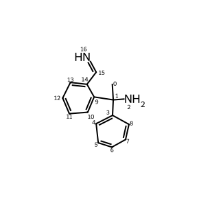 CC(N)(c1ccccc1)c1ccccc1C=N